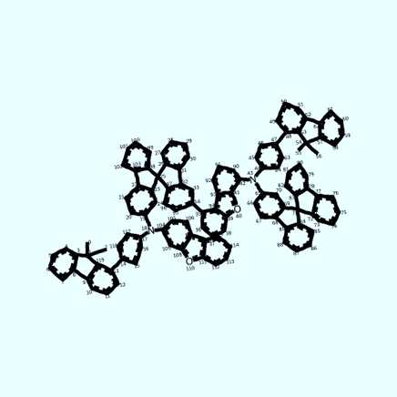 CC1(C)c2ccccc2-c2cccc(-c3ccc(N(c4ccc5c(c4)C4(c6ccccc6-c6cc(-c7cccc8oc9c(N(c%10ccc(-c%11cccc%12c%11C(C)(C)c%11ccccc%11-%12)cc%10)c%10ccc%11c(c%10)C%10(c%12ccccc%12-c%12ccccc%12%10)c%10ccccc%10-%11)cccc9c78)ccc64)c4ccccc4-5)c4ccc5c(c4)oc4ccccc45)cc3)c21